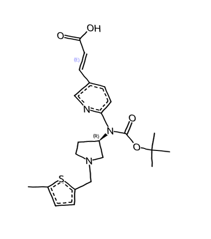 Cc1ccc(CN2CC[C@@H](N(C(=O)OC(C)(C)C)c3ccc(/C=C/C(=O)O)cn3)C2)s1